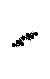 Cc1cc(CN(C)C(=O)c2c3ccccc3c(CN(C)Cc3ccccc3)c3ccccc23)ccc1CN(C)C(=O)c1c2ccccc2c(CN(C)Cc2ccccc2)c2ccccc12